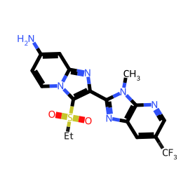 CCS(=O)(=O)c1c(-c2nc3cc(C(F)(F)F)cnc3n2C)nc2cc(N)ccn12